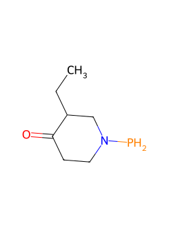 CCC1CN(P)CCC1=O